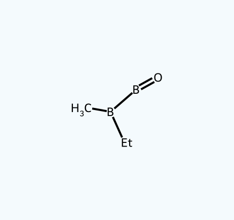 CCB(C)B=O